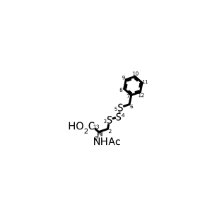 CC(=O)N[C@@H](CSSSCc1ccccc1)C(=O)O